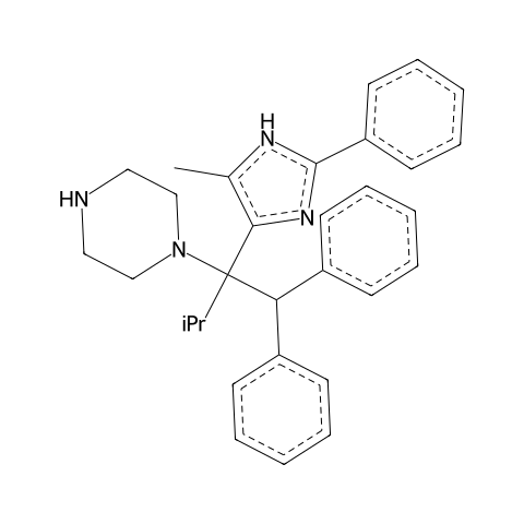 Cc1[nH]c(-c2ccccc2)nc1C(C(C)C)(C(c1ccccc1)c1ccccc1)N1CCNCC1